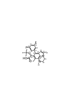 Cc1c([C@H](OC(C)(C)C)C(=O)O)c(-c2cc(F)cc(F)c2)c2cc(C)n3c2c1N(C)CC3